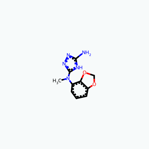 CN(c1nnc(N)[nH]1)c1cccc2c1OCO2